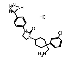 Cl.NC[C@]1(c2cccc(Cl)c2)CC[C@H](N2CCN(c3ccc(-c4nnn[nH]4)cc3)C2=O)CC1